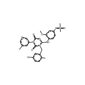 COc1cc(N=S(C)(C)=O)ccc1Nc1nc(=O)n(-c2cncc(C)c2)c(=O)n1Cc1cc(Cl)ccc1C